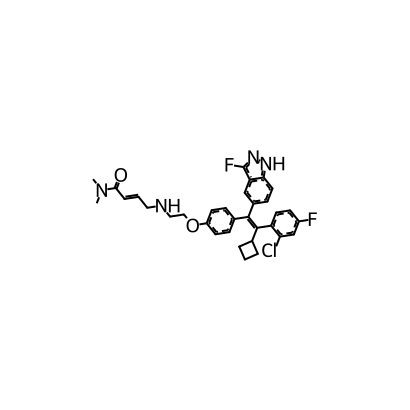 CN(C)C(=O)C=CCNCCOc1ccc(C(=C(c2ccc(F)cc2Cl)C2CCC2)c2ccc3[nH]nc(F)c3c2)cc1